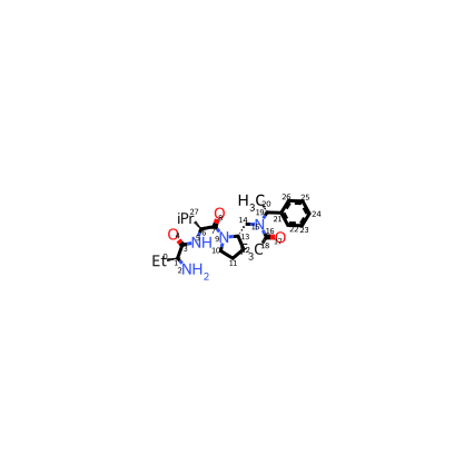 CC[C@H](N)C(=O)N[C@H](C(=O)N1CCC[C@H]1CN(C(=O)C(F)(F)F)[C@H](C)c1ccccc1)C(C)C